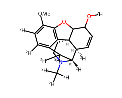 [2H]OC1C=C[C@]2([2H])[C@@]34CCN(C([2H])([2H])[2H])[C@]2([2H])C([2H])([2H])c2c([2H])c([2H])c(OC)c(c23)OC14